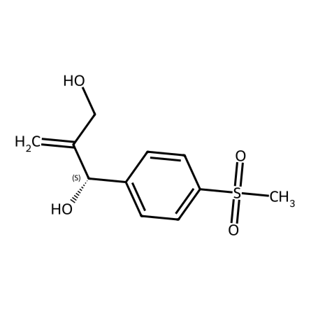 C=C(CO)[C@@H](O)c1ccc(S(C)(=O)=O)cc1